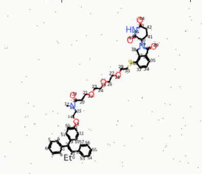 CC/C(=C(\c1ccccc1)c1ccc(OCCN(C)C(=O)CCOCCOCCOCCSc2cccc3c2CN(C2CCC(=O)NC2=O)C3=O)cc1)c1ccccc1